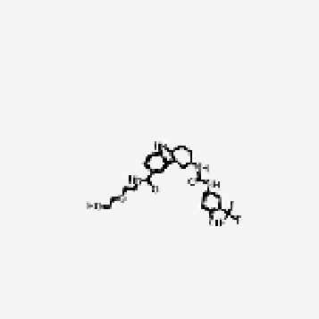 O=C(Nc1ccc(Cl)c(C(F)(F)F)c1)NC1CCc2[nH]c3ccc(C(=O)NCCOCCO)cc3c2C1